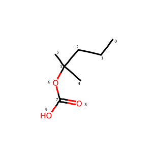 CCCC(C)(C)OC(=O)O